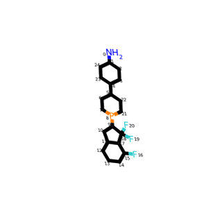 NC1CCC(C2CCP(C3CC4CCCC(F)C4C3(F)F)CC2)CC1